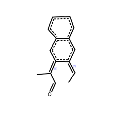 C/C=c1/cc2ccccc2c/c1=C(\C)C=O